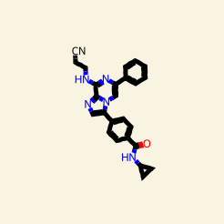 N#CCCNc1nc(-c2ccccc2)cn2c(-c3ccc(C(=O)NC4CC4)cc3)cnc12